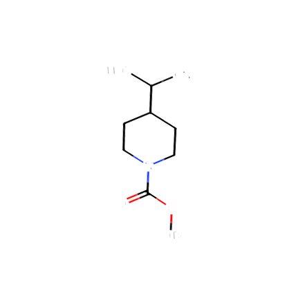 CC(C#N)C1CCN(C(=O)OC(C)(C)C)CC1